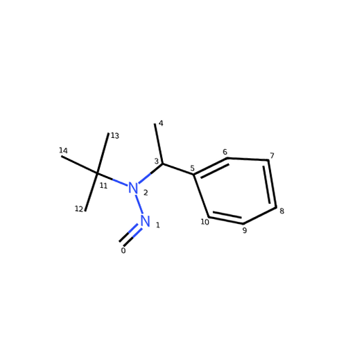 C=NN(C(C)c1ccccc1)C(C)(C)C